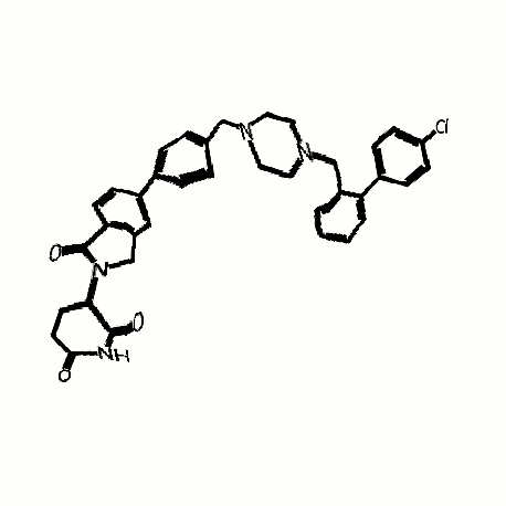 O=C1CCC(N2Cc3cc(-c4ccc(CN5CCN(Cc6ccccc6-c6ccc(Cl)cc6)CC5)cc4)ccc3C2=O)C(=O)N1